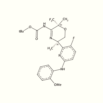 COc1ccccc1Nc1ccc(F)c([C@]2(C)CO[C@@](C)(C(F)(F)F)C(NC(=O)OC(C)(C)C)=N2)n1